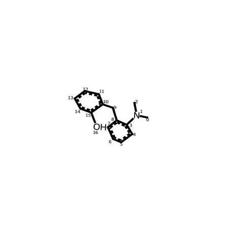 CN(C)c1ccccc1Cc1ccccc1O